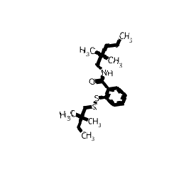 CCCC(C)(C)CNC(=O)c1ccccc1SSCC(C)(C)CC